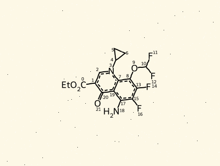 CCOC(=O)c1cn(C2CC2)c2c(OC(F)F)c(F)c(F)c(N)c2c1=O